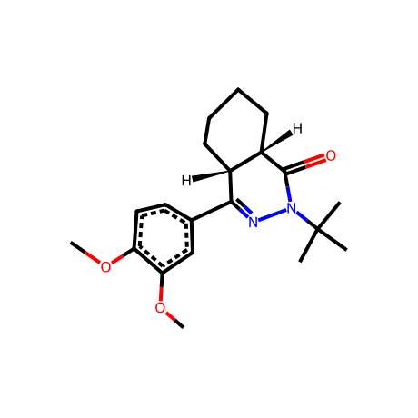 COc1ccc(C2=NN(C(C)(C)C)C(=O)[C@H]3CCCC[C@@H]23)cc1OC